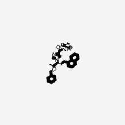 C[C@H](OCc1ccccc1)[C@@H](CCc1cccc2ccccc12)n1cnc(C(=O)NS(C)(=O)=O)c1